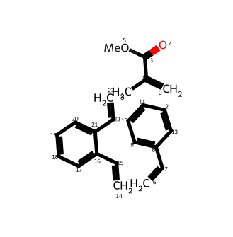 C=C(C)C(=O)OC.C=Cc1ccccc1.C=Cc1ccccc1C=C